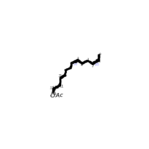 C/C=C\CC/C=C\CCCCCCOC(C)=O